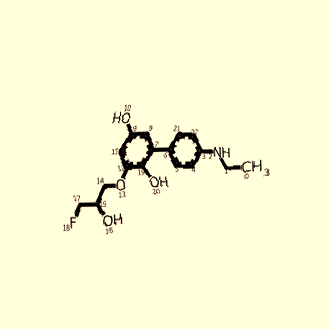 CCNc1ccc(-c2cc(O)cc(OCC(O)CF)c2O)cc1